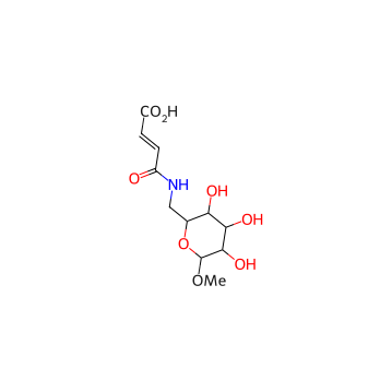 COC1OC(CNC(=O)C=CC(=O)O)C(O)C(O)C1O